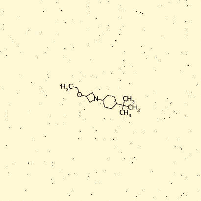 CCOC1CN(C2CCC(C(C)(C)C)CC2)C1